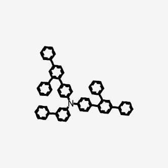 c1ccc(-c2cccc(N(c3ccc(-c4ccc(-c5ccccc5)cc4-c4ccccc4)cc3)c3ccc(-c4ccc(-c5ccccc5)cc4-c4ccccc4)cc3)c2)cc1